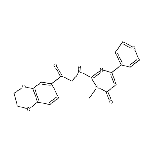 Cn1c(NCC(=O)c2ccc3c(c2)OCCO3)nc(-c2ccncc2)cc1=O